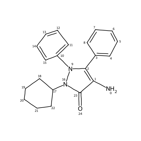 Nc1c(-c2ccccc2)n(-c2ccccc2)n(C2CCCCC2)c1=O